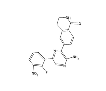 Nc1ncc(-c2cccc([N+](=O)[O-])c2F)nc1-c1ccc2c(c1)CCNC2=O